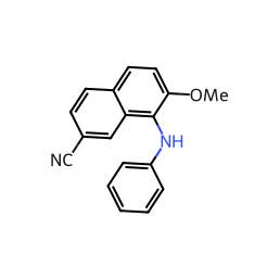 COc1ccc2ccc(C#N)cc2c1Nc1ccccc1